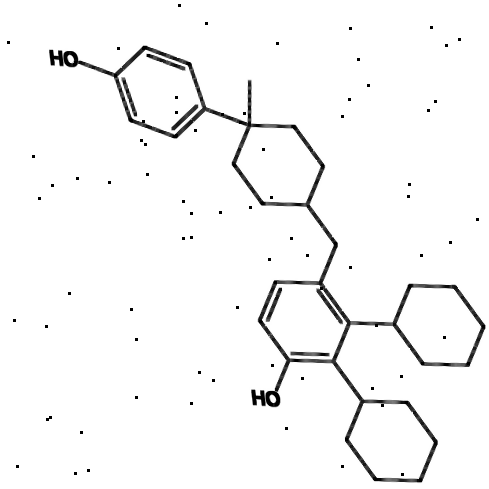 CC1(c2ccc(O)cc2)CCC(Cc2ccc(O)c(C3CCCCC3)c2C2CCCCC2)CC1